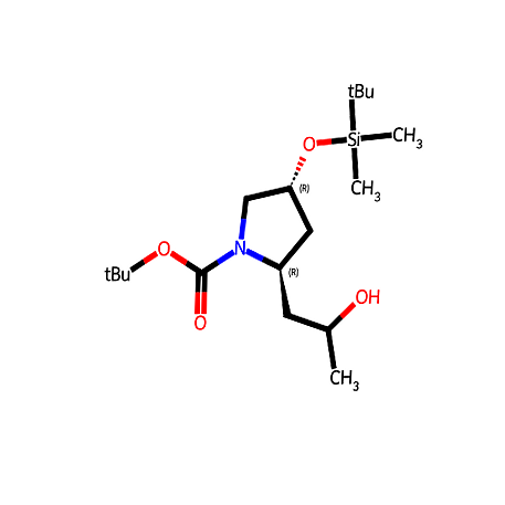 CC(O)C[C@@H]1C[C@@H](O[Si](C)(C)C(C)(C)C)CN1C(=O)OC(C)(C)C